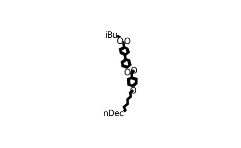 CCCCCCCCCCCCCCCCOc1ccc(C(=O)Oc2ccc(-c3ccc(C(=O)OCC(C)CC)cc3)cc2)cc1